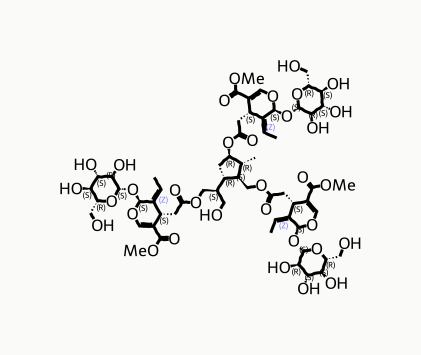 C/C=C1\[C@H](O[C@@H]2O[C@H](CO)[C@@H](O)[C@H](O)[C@H]2O)OC=C(C(=O)OC)[C@H]1CC(=O)OC[C@H](CO)[C@@H]1C[C@@H](OC(=O)C[C@@H]2C(C(=O)OC)=CO[C@@H](O[C@@H]3O[C@H](CO)[C@@H](O)[C@H](O)[C@H]3O)/C2=C\C)[C@H](C)[C@H]1COC(=O)C[C@@H]1C(C(=O)OC)=CO[C@@H](O[C@@H]2O[C@H](CO)[C@@H](O)[C@H](O)[C@H]2O)/C1=C\C